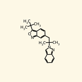 CC(C)(C)c1onc2cc(CC(C)(C)n3cc4ccccc4n3)ccc12